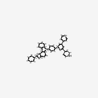 C1=CC(c2cc(-c3ccncc3)cc(-c3ccc(-n4c5ccccc5c5c6oc(-c7ccccc7)nc6ccc54)cc3)n2)=CCN1